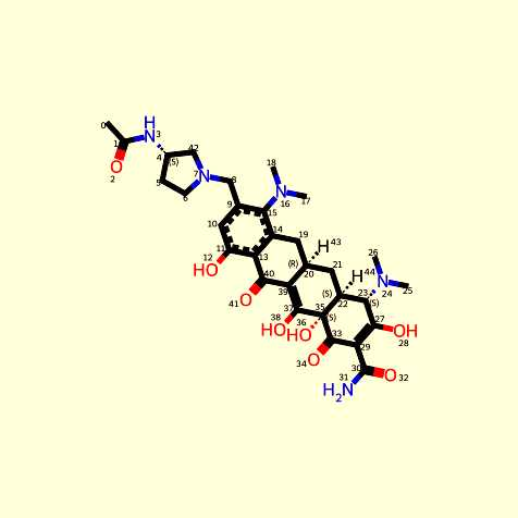 CC(=O)N[C@H]1CCN(Cc2cc(O)c3c(c2N(C)C)C[C@H]2C[C@H]4[C@H](N(C)C)C(O)=C(C(N)=O)C(=O)[C@@]4(O)C(O)=C2C3=O)C1